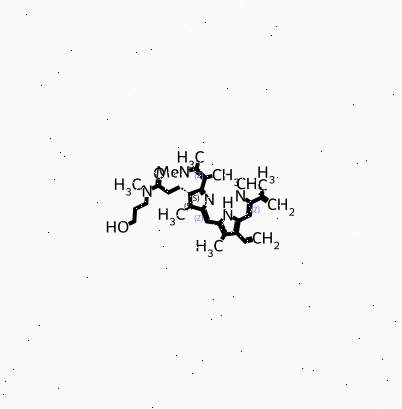 C=Cc1c(/C=C(\N=C)C(=C)C)[nH]c(/C=C2N=C(/C(C)=C(/C)NC)[C@@H](CCC(=O)N(C)CCCO)[C@@H]\2C)c1C